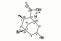 C[C@@H]1C[C@@]2(Br)CC(Br)C[C@@H](C2)C1C(=O)O